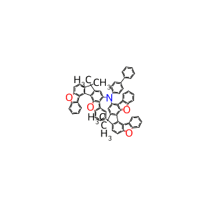 CC1(C)c2cc(N(c3ccc(-c4ccccc4)cc3)c3cc4c(c5oc6ccccc6c35)-c3c(ccc5oc6ccccc6c35)C4(C)C)c3c(oc4ccccc43)c2-c2c1ccc1oc3ccccc3c21